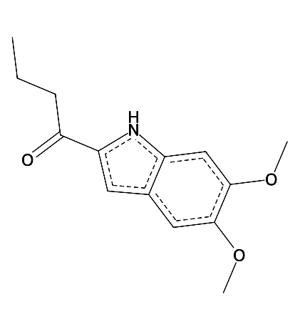 CCCC(=O)c1cc2cc(OC)c(OC)cc2[nH]1